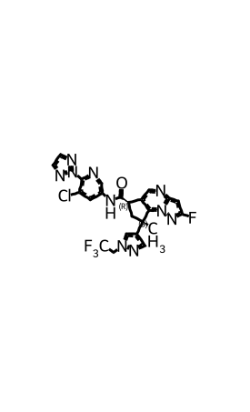 C[C@@]1(c2cnn(CC(F)(F)F)c2)C[C@@H](C(=O)Nc2cnc(-n3nccn3)c(Cl)c2)c2cnc3cc(F)nn3c21